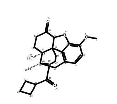 COc1ccc2c3c1OC1C(=O)CC[C@]4(O)[C@H](C2)N(C(=O)C2CCC2)CCC314